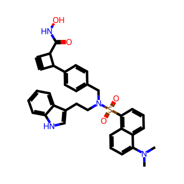 CN(C)c1cccc2c(S(=O)(=O)N(CCc3c[nH]c4ccccc34)Cc3ccc(C4C#CC4C(=O)NO)cc3)cccc12